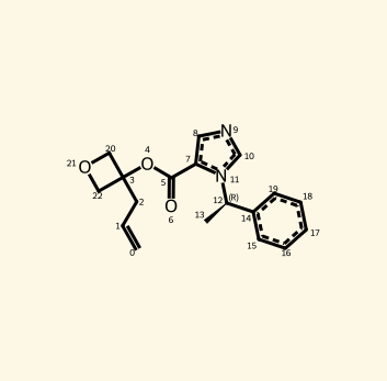 C=CCC1(OC(=O)c2cncn2[C@H](C)c2ccccc2)COC1